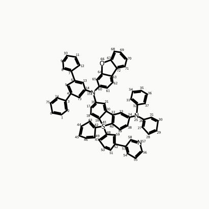 c1ccc(-c2cc(-c3ccccc3)cc(N(c3ccc4c(c3)-c3cc(N(c5ccccc5)c5ccccc5)ccc3S4(c3ccccc3)c3cccc(-c4cccnc4)c3)c3ccc4c(c3)oc3ccccc34)c2)cc1